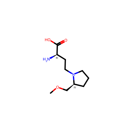 COC[C@@H]1CCCN1CC[C@@H](N)C(=O)O